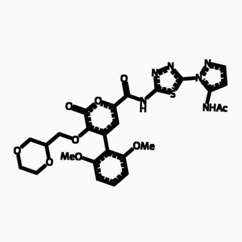 COc1cccc(OC)c1-c1cc(C(=O)Nc2nnc(-n3nccc3NC(C)=O)s2)oc(=O)c1OCC1COCCO1